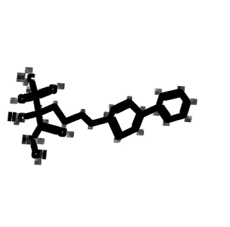 CC(CCCCc1ccc(-c2ccccc2)cc1)(C(=O)NO)S(C)(=O)=O